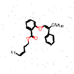 CC/C=C\CCOC(=O)c1ccccc1OC=C(OC)c1ccccc1